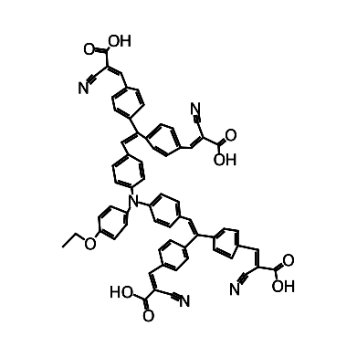 CCOc1ccc(N(c2ccc(C=C(c3ccc(/C=C(\C#N)C(=O)O)cc3)c3ccc(/C=C(\C#N)C(=O)O)cc3)cc2)c2ccc(C=C(c3ccc(/C=C(\C#N)C(=O)O)cc3)c3ccc(/C=C(\C#N)C(=O)O)cc3)cc2)cc1